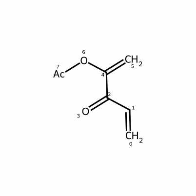 C=CC(=O)C(=C)OC(C)=O